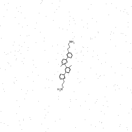 Cc1ccc(-c2cccc(CCCN)c2)cc1-c1cc(-c2cccc(CCCN)c2)ccc1C